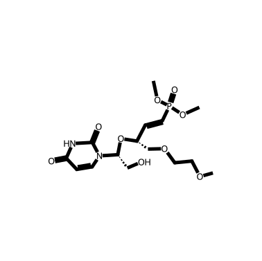 COCCOC[C@@H](/C=C/P(=O)(OC)OC)O[C@H](CO)n1ccc(=O)[nH]c1=O